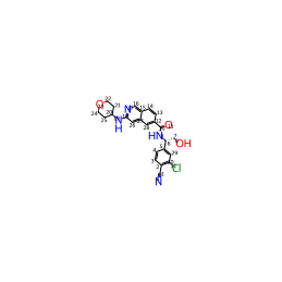 N#Cc1ccc([C@@H](CO)NC(=O)c2ccc3cnc(NC4CCOCC4)cc3c2)cc1Cl